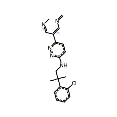 C=N/C=C(\C=N/C)c1ccc(NCC(C)(C)c2ccccc2Cl)nn1